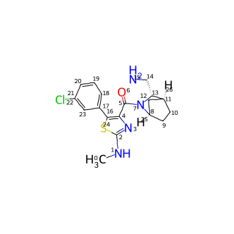 CNc1nc(C(=O)N2[C@@H]3CC[C@@H](C3)[C@H]2CN)c(-c2cccc(Cl)c2)s1